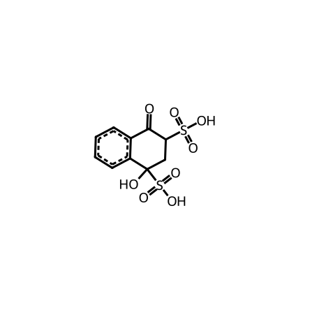 O=C1c2ccccc2C(O)(S(=O)(=O)O)CC1S(=O)(=O)O